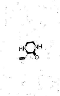 C=C[C@@H]1NCCNC1=O